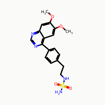 COc1cc2ncnc(-c3ccc(CCNS(N)(=O)=O)cc3)c2cc1OC